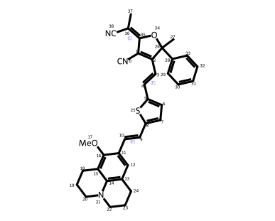 [C-]#[N+]C1=C(/C=C/c2ccc(/C=C/c3cc4c5c(c3OC)CCCN5CCC4)s2)C(C)(c2ccccc2)O/C1=C(\C)C#N